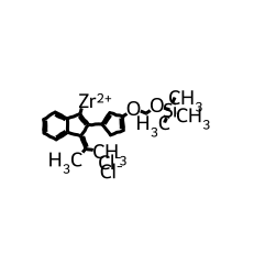 CC(C)=C1C(C2=CC(OCO[Si](C)(C)C)=CC2)=[C]([Zr+2])c2ccccc21.[Cl-].[Cl-]